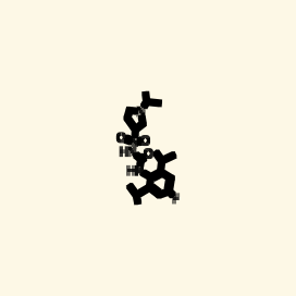 CC(C)c1cc(F)cc(C(C)C)c1NC(=O)NS(=O)(=O)C1CCN(C(C)C)C1